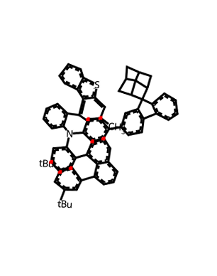 CC1C=c2sc3ccccc3c2=C(c2ccccc2N(c2ccc(-c3ccc4c(c3)C3(c5ccccc5-4)C4CC5CC6CC3C564)cc2)c2ccccc2-c2cccc3cccc(-c4cc(C(C)(C)C)cc(C(C)(C)C)c4)c23)C1